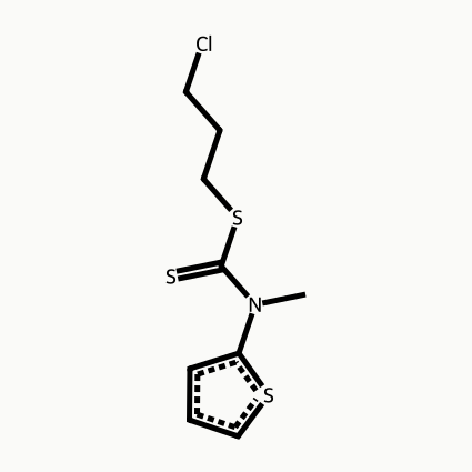 CN(C(=S)SCCCCl)c1cccs1